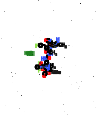 CNC(C)C(=O)NC(C(=O)N1Cc2ccc(NC(=O)CNC(=O)[C@@]3(C)CN(C(=O)CN4C[C@@H](C)NC[C@H]4CCN4CCOC[C@H]4C)c4cc(Cc5ccc(F)cc5)ccc43)cc2[C@H]1C(=O)Nc1c(F)cccc1F)C1CCOCC1.Cl.Cl.Cl